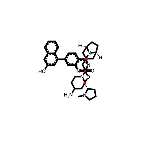 CN1CCC[C@H]1COc1nc(N2[C@@H]3CC[C@H]2CN(CC(=O)N2CCC(N)CC2)C3)c2ccc(-c3cc(O)cc4ccccc34)cc2n1